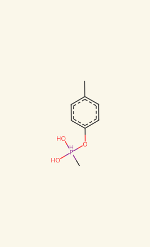 Cc1ccc(O[PH](C)(O)O)cc1